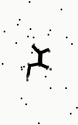 CC(C)=C(F)CF